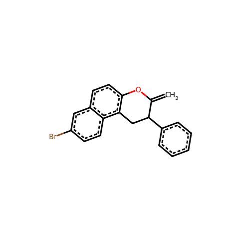 C=C1Oc2ccc3cc(Br)ccc3c2CC1c1ccccc1